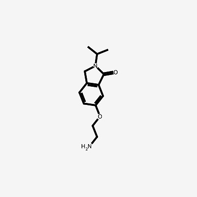 CC(C)N1Cc2ccc(OCCN)cc2C1=O